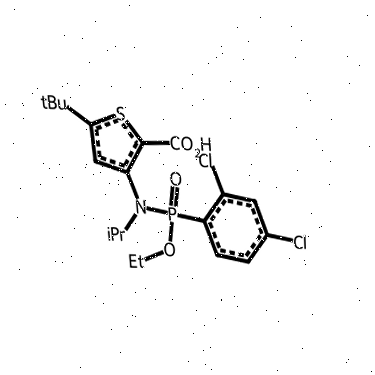 CCOP(=O)(c1ccc(Cl)cc1Cl)N(c1cc(C(C)(C)C)sc1C(=O)O)C(C)C